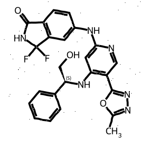 Cc1nnc(-c2cnc(Nc3ccc4c(c3)C(F)(F)NC4=O)cc2N[C@H](CO)c2ccccc2)o1